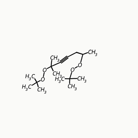 CC(CC#CC(C)(C)OOC(C)(C)C)OOC(C)(C)C